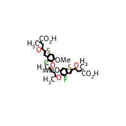 COc1cc2sc(C(=O)CC(C)C(=O)O)cc2c(F)c1OC(C)CCC(C)Oc1c(OC)cc2sc(C(=O)CC(C)C(=O)O)cc2c1F